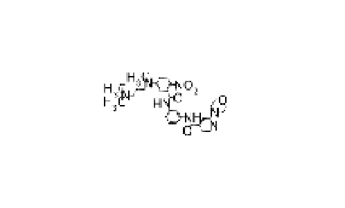 CN(C)CCCN(C)c1ccc([N+](=O)[O-])c(C(=O)Nc2cccc(NC(=O)c3ccnc(N4CCOCC4)c3)c2)c1